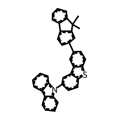 CC1(C)c2ccccc2-c2ccc(-c3ccc4sc5ccc(-n6c7ccccc7c7ccccc76)cc5c4c3)cc21